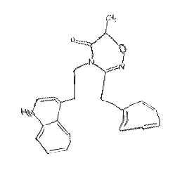 CC1ON=C(Cc2ccccc2)N(CCc2c[nH]c3ccccc23)C1=O